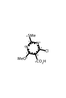 COc1nc(SC)nc(Cl)c1C(=O)O